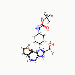 C[C@@H](O)c1nc2cnc3ccsc3c2n1C1CCC(NC(=O)OC(C)(C)C)CC1